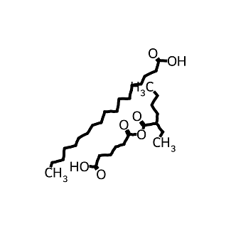 CCCCC(CC)C(=O)OC(=O)CCCCC(=O)O.CCCCCCCCCCCCCCCCCC(=O)O